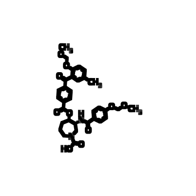 COCOc1ccc(C(=O)N[C@@H]2CN(C(=O)O)CCC[C@H]2OC(=O)c2ccc(C(=O)c3cc(C)ccc3OCOC)cc2)cc1